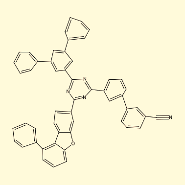 N#Cc1cccc(-c2cccc(-c3nc(-c4cc(-c5ccccc5)cc(-c5ccccc5)c4)nc(-c4ccc5c(c4)oc4cccc(-c6ccccc6)c45)n3)c2)c1